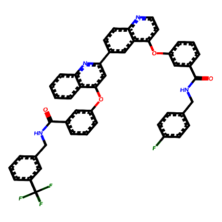 O=C(NCc1ccc(F)cc1)c1cccc(Oc2ccnc3ccc(-c4cc(Oc5cccc(C(=O)NCc6cccc(C(F)(F)F)c6)c5)c5ccccc5n4)cc23)c1